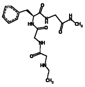 CCNCC(=O)NCC(=O)N[C@@H](Cc1ccccc1)C(=O)NCC(=O)NC